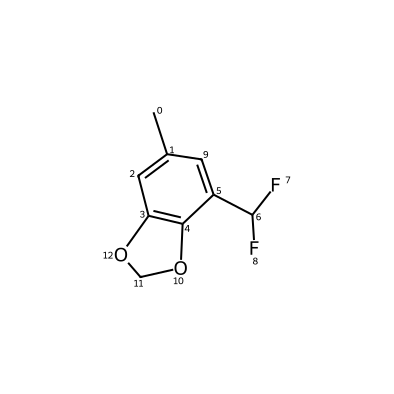 Cc1cc2c(c(C(F)F)c1)OCO2